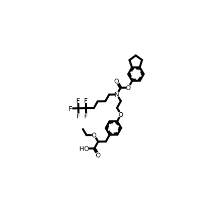 CCOC(Cc1ccc(OCCN(CCCCC(F)(F)C(F)(F)F)C(=O)Oc2ccc3c(c2)CCC3)cc1)C(=O)O